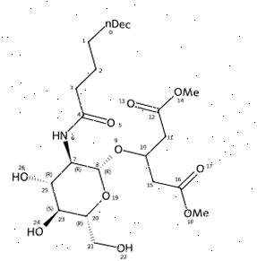 CCCCCCCCCCCCCC(=O)N[C@H]1[C@H](OC(CC(=O)OC)CC(=O)OC)O[C@H](CO)[C@@H](O)[C@@H]1O